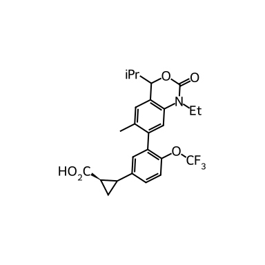 CCN1C(=O)OC(C(C)C)c2cc(C)c(-c3cc(C4C[C@H]4C(=O)O)ccc3OC(F)(F)F)cc21